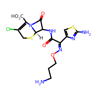 NCCCO/N=C(\C(=O)NC1C(=O)N2C(C(=O)O)=C(Cl)CS[C@H]12)c1csc(N)n1